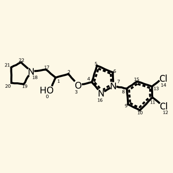 OC(COc1ccn(-c2ccc(Cl)c(Cl)c2)n1)CN1CCCC1